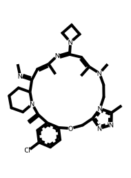 C=C1c2cc(Cl)ccc2OCc2nnc(C)n2CCN(C)/C(C)=C/C(N2CCC2)=N\C(C)=C\C(=N/C)C2CCCCN12